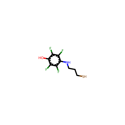 Oc1c(F)c(F)c(NCCCS)c(F)c1F